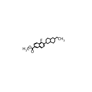 CCC1CCC2CC(c3ccc4cc(C(=O)OC)ccc4c3F)CCC2C1